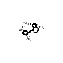 CNc1ccc([N+](=O)[O-])cc1/C=C/C1=NCCN(C)c2ccccc21.Cl.Cl